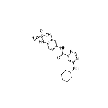 C=S(C)(=O)Nc1ccc(NC(=O)c2cc(NC3CCCCC3)ncn2)cc1